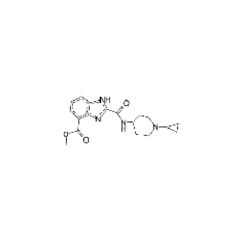 COC(=O)c1cccc2[nH]c(C(=O)NC3CCN(C4CC4)CC3)nc12